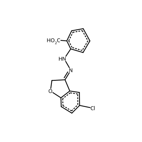 O=C(O)c1ccccc1N/N=C1\COc2ccc(Cl)cc21